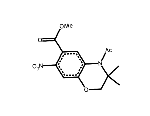 COC(=O)c1cc2c(cc1[N+](=O)[O-])OCC(C)(C)N2C(C)=O